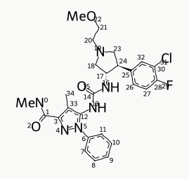 CNC(=O)c1nn(-c2ccccc2)c(NC(=O)N[C@@H]2CN(CCOC)C[C@H]2c2ccc(F)c(Cl)c2)c1C